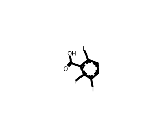 O=C(O)c1c(I)ccc(I)c1I